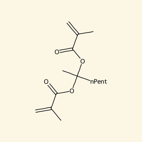 C=C(C)C(=O)OC(C)(CCCCC)OC(=O)C(=C)C